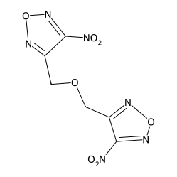 O=[N+]([O-])c1nonc1COCc1nonc1[N+](=O)[O-]